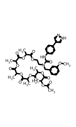 COc1cccc(CN(CCOC(=O)C(C)OC(=O)C(C)OC(=O)C(C)OC(=O)C(C)OC(=O)C(C)OC(=O)C(C)OC(C)=O)C(=O)Nc2ccc(-c3cn[nH]c3)cc2)c1